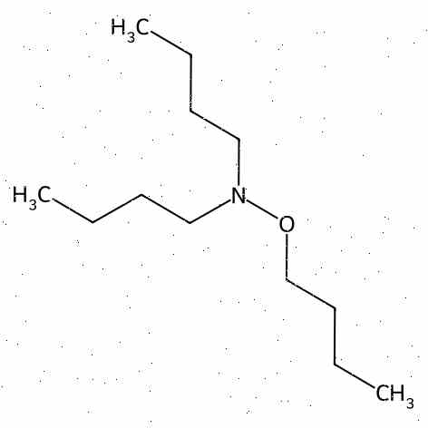 CCCCON(CCCC)CCCC